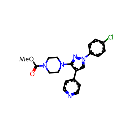 COC(=O)N1CCN(c2nn(-c3ccc(Cl)cc3)cc2-c2ccncc2)CC1